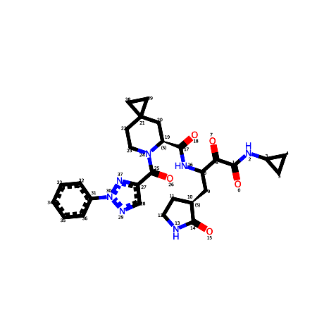 O=C(NC1CC1)C(=O)C(C[C@@H]1CCNC1=O)NC(=O)[C@@H]1CC2(CCN1C(=O)c1cnn(-c3ccccc3)n1)CC2